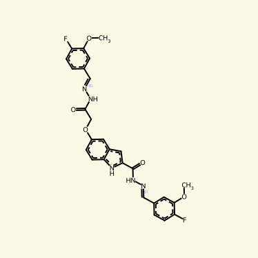 COc1cc(/C=N/NC(=O)COc2ccc3[nH]c(C(=O)N/N=C/c4ccc(F)c(OC)c4)cc3c2)ccc1F